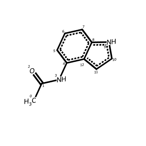 CC(=O)Nc1cccc2[nH]ccc12